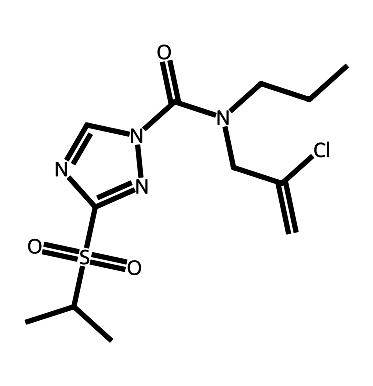 C=C(Cl)CN(CCC)C(=O)n1cnc(S(=O)(=O)C(C)C)n1